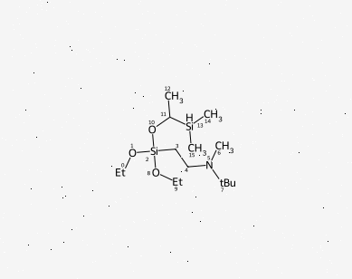 CCO[Si](CCN(C)C(C)(C)C)(OCC)OC(C)[SiH](C)C